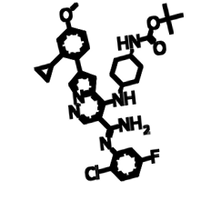 COc1ccc(-c2cc3c(N[C@H]4CC[C@H](NC(=O)OC(C)(C)C)CC4)c(C(N)=Nc4cc(F)ccc4Cl)cnn3c2)c(C2CC2)c1